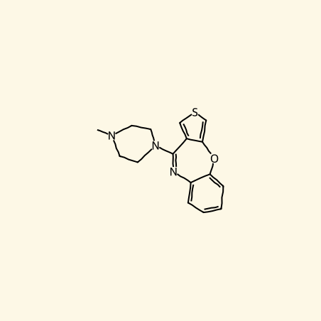 CN1CCN(C2=Nc3ccccc3Oc3cscc32)CC1